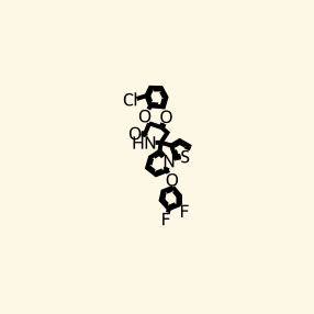 O=C1CC(c2ccsc2)(c2cccc(Oc3ccc(F)c(F)c3)n2)NC(=O)C1Oc1ccccc1Cl